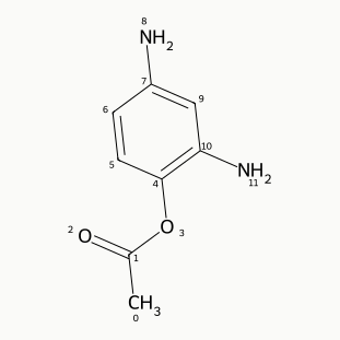 CC(=O)Oc1ccc(N)cc1N